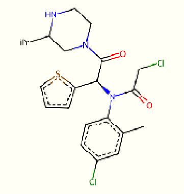 Cc1cc(Cl)ccc1N(C(=O)CCl)[C@H](C(=O)N1CCNC(C(C)C)C1)c1cccs1